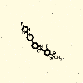 CS(=O)(=O)c1ccc(-c2nc3cc(C4CCN(c5ncc(F)cn5)CC4)ccc3o2)c(F)c1